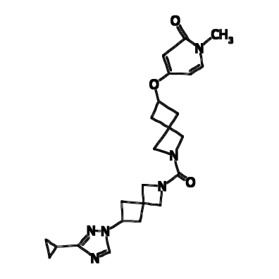 Cn1ccc(OC2CC3(C2)CN(C(=O)N2CC4(CC(n5cnc(C6CC6)n5)C4)C2)C3)cc1=O